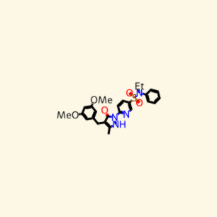 CCN(c1ccccc1)S(=O)(=O)c1ccc(-n2[nH]c(C)c(Cc3cc(OC)cc(OC)c3)c2=O)nc1